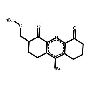 CCCCOCC1CCc2c(nc3c(c2CCCC)CCCC3=O)C1=O